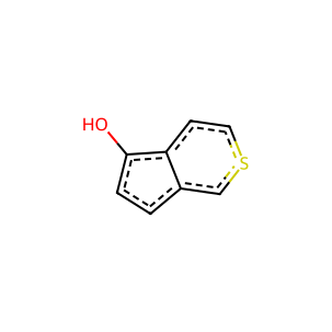 Oc1ccc2csccc1-2